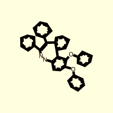 c1ccc(Oc2ccc3c(c2Oc2ccccc2)-c2ccccc2C(c2ccccc2)=C(c2ccccc2)/N=N\3)cc1